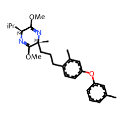 COC1=N[C@](C)(CCCc2ccc(Oc3cccc(C)c3)cc2C)C(OC)=N[C@H]1C(C)C